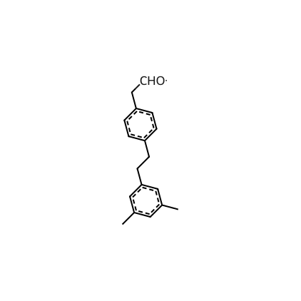 Cc1cc(C)cc(CCc2ccc(C[C]=O)cc2)c1